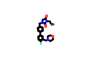 CC(C)CN1C(=O)CN(Cc2ccc(-c3ccc(F)c(CN4CCOCC4)c3)cc2)C1=O